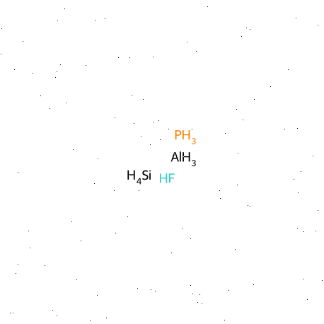 F.P.[AlH3].[SiH4]